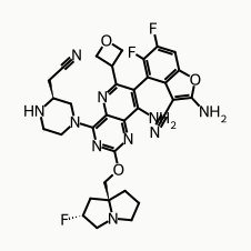 N#CC[C@H]1CN(c2nc(OC[C@@]34CCCN3C[C@H](F)C4)nc3c(N)c(-c4c(F)c(F)cc5oc(N)c(C#N)c45)c(C4COC4)nc23)CCN1